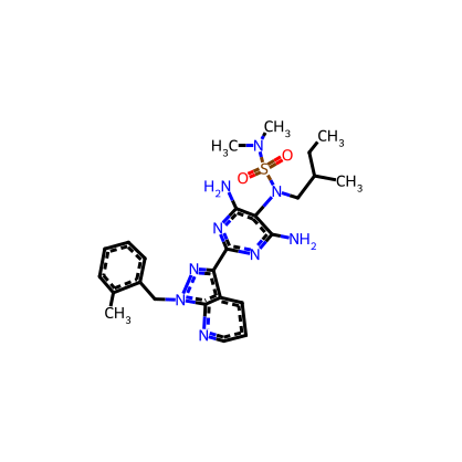 CCC(C)CN(c1c(N)nc(-c2nn(Cc3ccccc3C)c3ncccc23)nc1N)S(=O)(=O)N(C)C